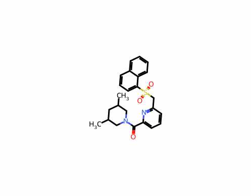 CC1CC(C)CN(C(=O)c2cccc(CS(=O)(=O)c3cccc4ccccc34)n2)C1